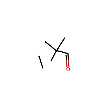 CC.CC(C)(C)C=O